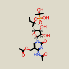 CC[C@](C)(C[C@H]1O[C@@H](n2cc(COC(C)=O)c(NC(C)=O)nc2=O)[C@H](O)[C@@H]1O)OP(=O)(O)C(C)(C)O